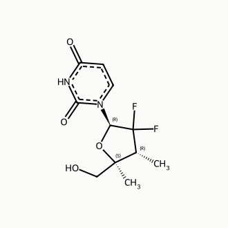 C[C@H]1C(F)(F)[C@H](n2ccc(=O)[nH]c2=O)O[C@]1(C)CO